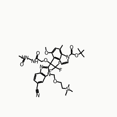 COc1cc(C)c2c(ccn2C(=O)OC(C)(C)C)c1C(OCC(=O)NNC(C)=O)(c1nc2ccc(C#N)cc2n1COCC[Si](C)(C)C)C(F)(F)F